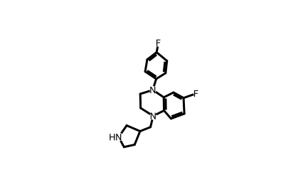 Fc1ccc(N2CCN(CC3CCNC3)c3ccc(F)cc32)cc1